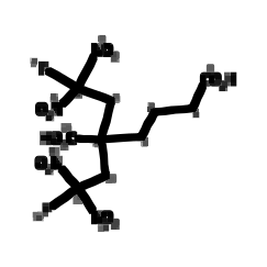 O=C(O)CCCC(CC(F)([N+](=O)[O-])[N+](=O)[O-])(CC(F)([N+](=O)[O-])[N+](=O)[O-])C(=O)O